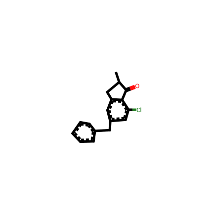 CC1Cc2cc(Cc3ccccc3)cc(Cl)c2C1=O